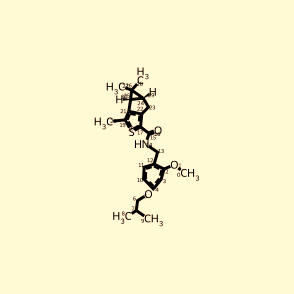 COc1cc(OCC(C)C)ccc1CNC(=O)c1sc(C)c2c1C[C@@H]1[C@H]2C1(C)C